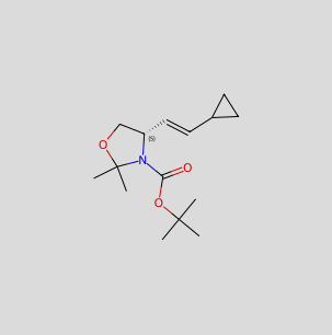 CC(C)(C)OC(=O)N1[C@@H](C=CC2CC2)COC1(C)C